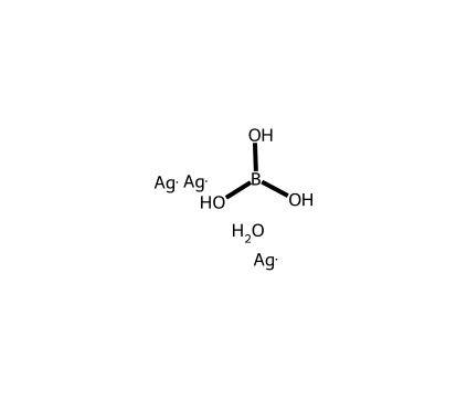 O.OB(O)O.[Ag].[Ag].[Ag]